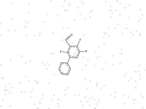 O=Cc1c(F)c(F)cc(-c2ccccc2)c1F